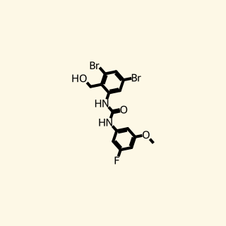 COc1cc(F)cc(NC(=O)Nc2cc(Br)cc(Br)c2CO)c1